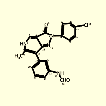 Cc1[nH]cc2c(=O)n(-c3ccc(Cl)cc3)nc-2c1-c1cccc(NC=O)c1